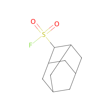 O=S(=O)(F)C1C2CC3CC(C2)CC1C3